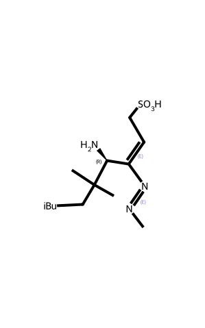 CCC(C)CC(C)(C)[C@@H](N)C(=C\CS(=O)(=O)O)/N=N/C